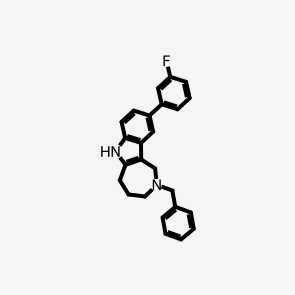 Fc1cccc(-c2ccc3[nH]c4c(c3c2)CN(Cc2ccccc2)CCC4)c1